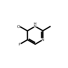 CC1=NC=C(F)C(Cl)N1